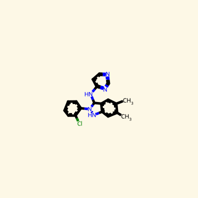 Cc1cc2c(cc1C)C(Nc1ccncn1)N(c1ccccc1Cl)N2